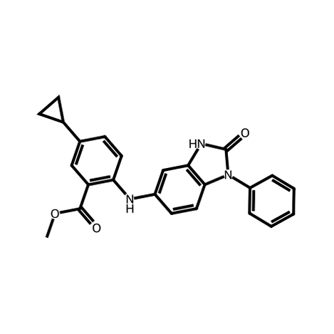 COC(=O)c1cc(C2CC2)ccc1Nc1ccc2c(c1)[nH]c(=O)n2-c1ccccc1